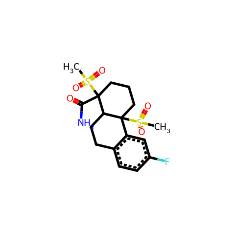 CS(=O)(=O)C1(C(N)=O)CCCC2(S(C)(=O)=O)c3cc(F)ccc3CCC12